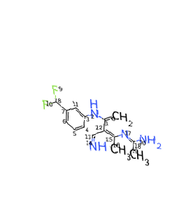 C=C(Nc1cccc(C(F)F)c1)/C(C=N)=C(C)\N=C(/C)N